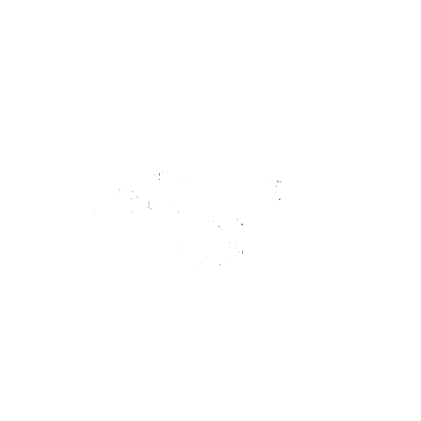 Cc1cc([C@@H](C)Nc2ccc(Cl)nc2C(=O)NS(C)(=O)=O)c2nc(N3CCC(n4cc5ccccc5n4)CC3)n(C)c(=O)c2c1